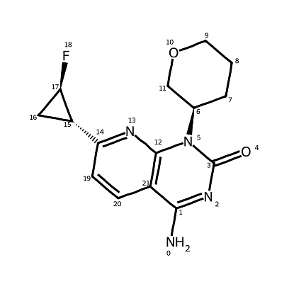 Nc1nc(=O)n([C@@H]2CCCOC2)c2nc([C@@H]3C[C@H]3F)ccc12